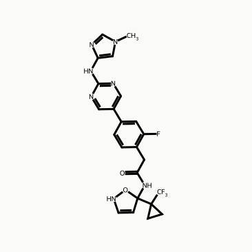 Cn1cnc(Nc2ncc(-c3ccc(CC(=O)NC4(C5(C(F)(F)F)CC5)C=CNO4)c(F)c3)cn2)c1